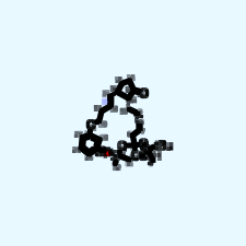 CC(C)(C)[Si](C)(C)OC(CC=C=CC[C@H]1C(=O)CC[C@@H]1/C=C/CCOc1cccc(F)c1)(O[Si](C)(C)C(C)(C)C)C(=O)O